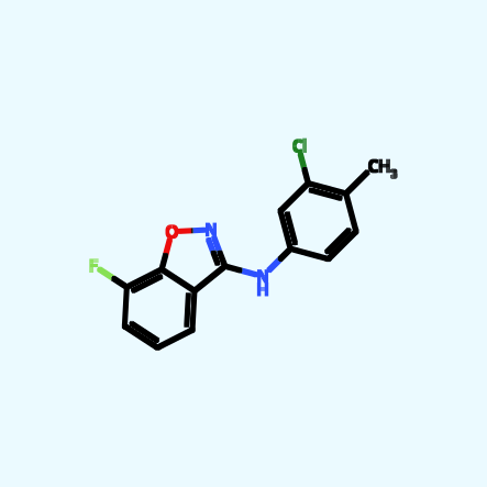 Cc1ccc(Nc2noc3c(F)cccc23)cc1Cl